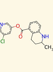 CC1CCc2c(cccc2C(=O)Oc2cncc(Cl)c2)N1